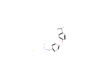 CC1COc2cc(Oc3ccc(CNC(=O)O)cc3)ccc21